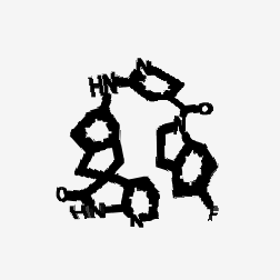 O=C(c1ccnc(Nc2ccc3c(c2)CC2(C3)C(=O)Nc3ncccc32)c1)N1CCc2cc(F)ccc21